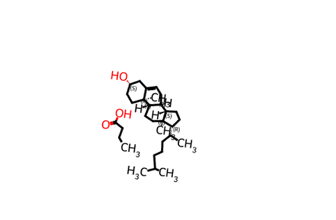 CC(C)CCCC(C)[C@H]1CC[C@H]2[C@@H]3CC=C4C[C@@H](O)CC[C@]4(C)[C@H]3CC[C@]12C.CCCC(=O)O